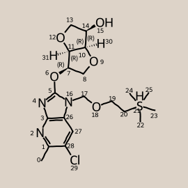 Cc1nc2nc(O[C@@H]3CO[C@H]4[C@@H]3OC[C@H]4O)n(COCC[SH](C)(C)(C)C)c2cc1Cl